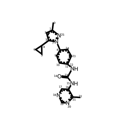 Cc1cc(C2CC2)n(-c2ccc(NC(=O)Nc3cncnc3C)cc2)n1